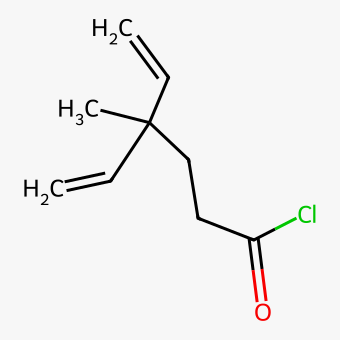 C=CC(C)(C=C)CCC(=O)Cl